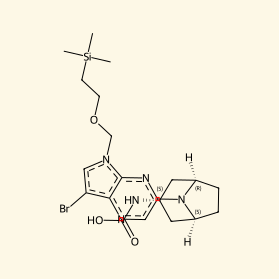 C[Si](C)(C)CCOCn1cc(Br)c2ncc(N3[C@@H]4CC[C@H]3C[C@H](NC(=O)O)C4)nc21